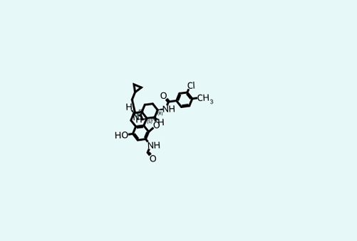 Cc1ccc(C(=O)N[C@@H]2CC[C@H]3[C@H]4Cc5c(O)cc(NC=O)c6c5[C@@]3(CCN4CC3CC3)[C@H]2O6)cc1Cl